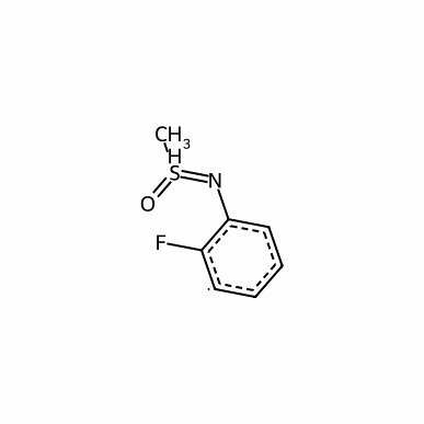 C/[SH](=O)=N/c1ccc[c]c1F